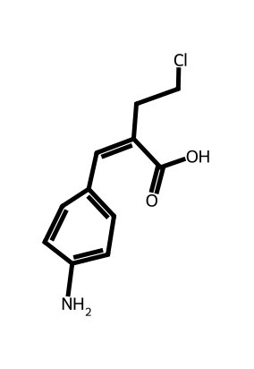 Nc1ccc(C=C(CCCl)C(=O)O)cc1